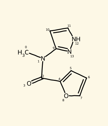 CN(C(=O)c1ccco1)c1cc[nH]n1